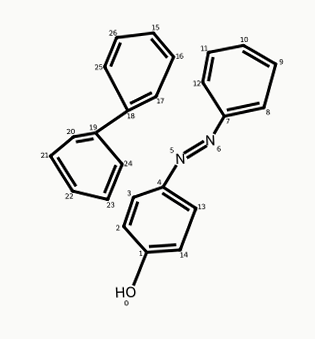 Oc1ccc(N=Nc2ccccc2)cc1.c1ccc(-c2ccccc2)cc1